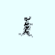 CO/N=C(/C(=O)N[C@@H]1C(=O)N2C(C(=O)O)=C(CSc3nnnn3CC#N)CS[C@H]12)c1csc(N)n1